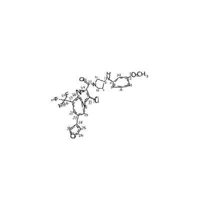 COc1cccc(NC2CCN(C(=O)c3nc4c(C(F)(F)F)cc(-c5ccoc5)cn4c3Cl)C2)c1